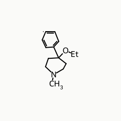 CCOC1(c2cc[c]cc2)CCN(C)CC1